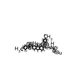 CCCCCCN(c1ccc2cc3ccc(N(CCCNC(=O)OC(C)(C)C)S(=O)(=O)c4ccc(C)cc4)cc3nc2c1)S(=O)(=O)c1ccc(C)cc1